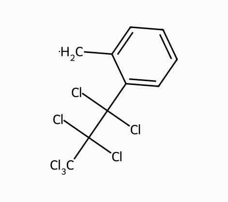 [CH2]c1ccccc1C(Cl)(Cl)C(Cl)(Cl)C(Cl)(Cl)Cl